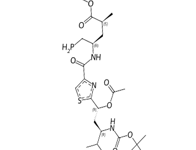 COC(=O)[C@@H](C)C[C@H](CP)NC(=O)c1csc([C@@H](C[C@@H](NC(=O)OC(C)(C)C)C(C)C)OC(C)=O)n1